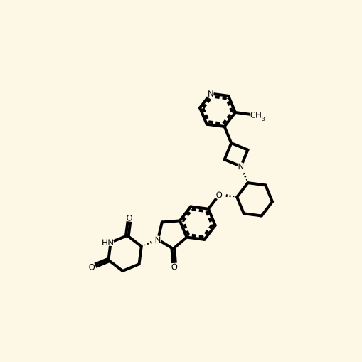 Cc1cnccc1C1CN([C@@H]2CCCC[C@@H]2Oc2ccc3c(c2)CN([C@@H]2CCC(=O)NC2=O)C3=O)C1